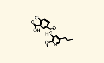 CCCc1cnc(OC)c(N[S+]([O-])c2ccc(Cl)c(C(=O)O)c2)c1